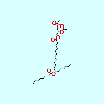 CCCCCCCC(=O)OC(CCCCCC)CCCCCCCCCCC(=O)OCC(COC(C)=O)OC(C)=O